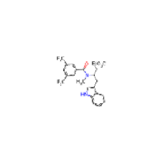 CCOC(=O)CC(Cc1c[nH]c2ccccc12)N(C)C(=O)c1cc(C(F)(F)F)cc(C(F)(F)F)c1